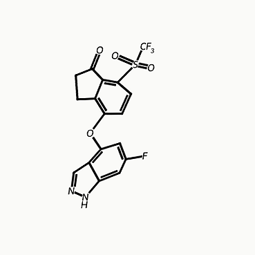 O=C1CCc2c(Oc3cc(F)cc4[nH]ncc34)ccc(S(=O)(=O)C(F)(F)F)c21